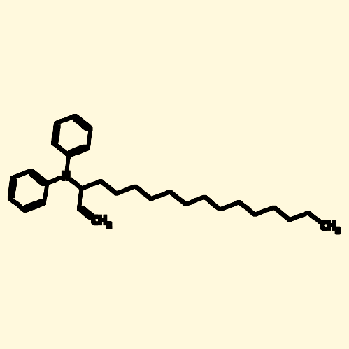 C=CC(CCCCCCCCCCCCCC)N(c1ccccc1)c1ccccc1